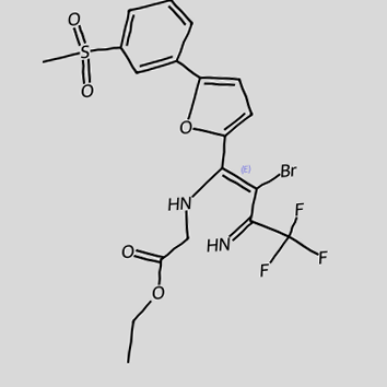 CCOC(=O)CN/C(=C(/Br)C(=N)C(F)(F)F)c1ccc(-c2cccc(S(C)(=O)=O)c2)o1